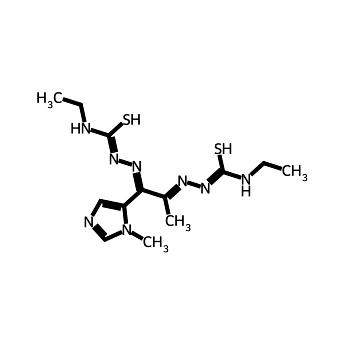 CCN/C(S)=N/N=C(C)/C(=N/N=C(\S)NCC)c1cncn1C